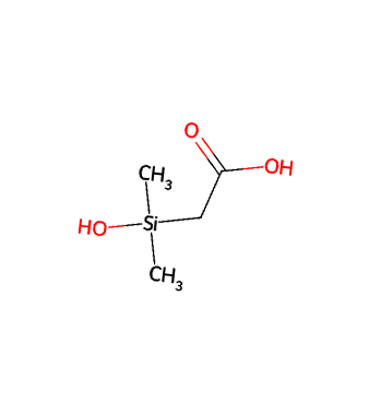 C[Si](C)(O)CC(=O)O